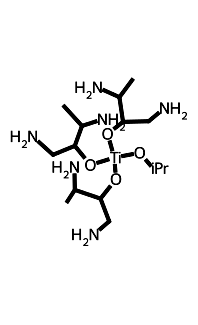 CC(C)[O][Ti]([O]C(CN)C(C)N)([O]C(CN)C(C)N)[O]C(CN)C(C)N